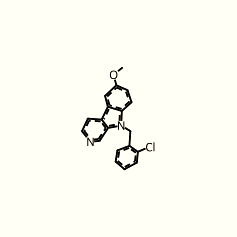 COc1ccc2c(c1)c1ccncc1n2Cc1ccccc1Cl